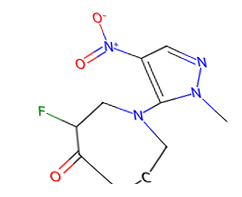 Cn1ncc([N+](=O)[O-])c1N1CCCC(=O)C(F)C1